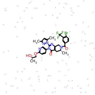 Cc1cc(C)n(-c2nc3c(c(=O)n2-c2ccc(OC[C@H](C)O)nc2)C[C@@H](C)N(C(=O)c2ccc(Br)c(C(F)(F)F)c2)C3)n1